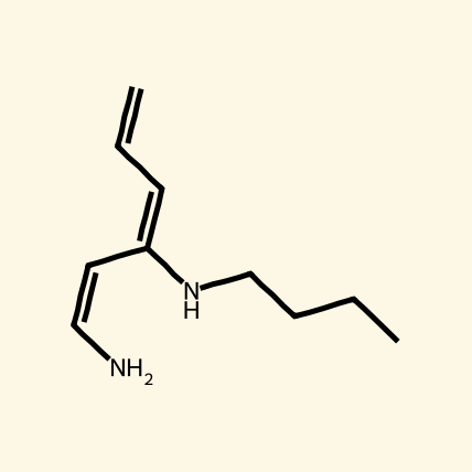 C=C/C=C(\C=C/N)NCCCC